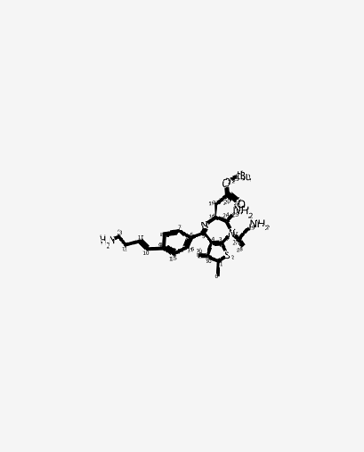 CC1SC2=C(C(c3ccc(/C=C/CCN)cc3)=N[C@@H](CC(=O)OC(C)(C)C)C(N)N2C(C)N)C1C